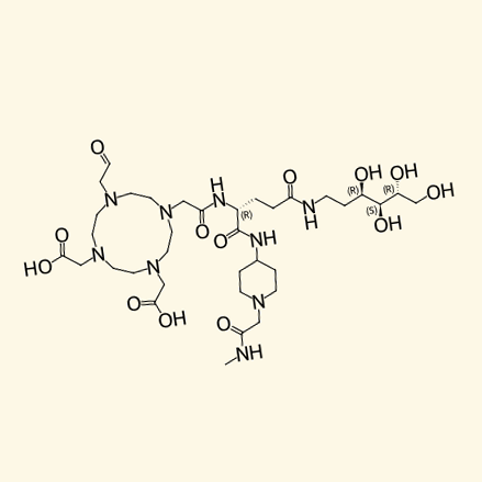 CNC(=O)CN1CCC(NC(=O)[C@@H](CCC(=O)NCC[C@@H](O)[C@H](O)[C@H](O)CO)NC(=O)CN2CCN(CC=O)CCN(CC(=O)O)CCN(CC(=O)O)CC2)CC1